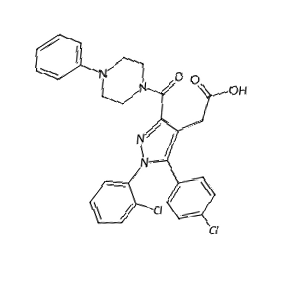 O=C(O)Cc1c(C(=O)N2CCN(c3ccccc3)CC2)nn(-c2ccccc2Cl)c1-c1ccc(Cl)cc1